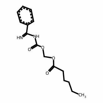 CCCCCC(=O)OCOC(=O)NC(=N)c1cc[c]cc1